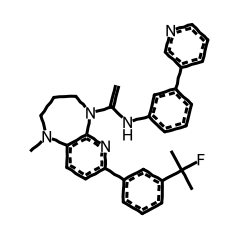 C=C(Nc1cccc(-c2cccnc2)c1)N1CCCN(C)c2ccc(-c3cccc(C(C)(C)F)c3)nc21